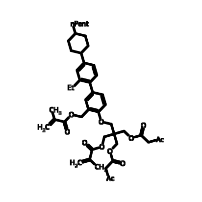 C=C(C)C(=O)OCc1cc(-c2ccc(C3CCC(CCCCC)CC3)cc2CC)ccc1OCC(COC(=O)CC(C)=O)(COC(=O)CC(C)=O)COC(=O)C(=C)C